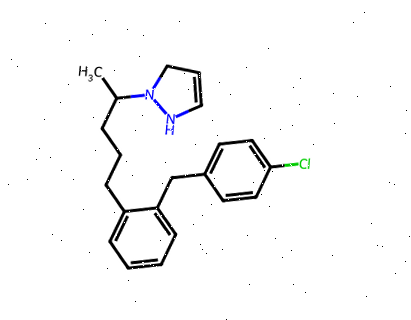 CC(CCCc1ccccc1Cc1ccc(Cl)cc1)N1CC=CN1